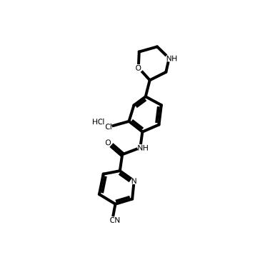 Cl.N#Cc1ccc(C(=O)Nc2ccc(C3CNCCO3)cc2Cl)nc1